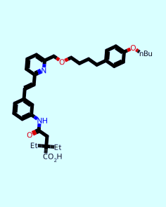 CCCCOc1ccc(CCCCOCc2cccc(C=Cc3cccc(NC(=O)CC(CC)(CC)C(=O)O)c3)n2)cc1